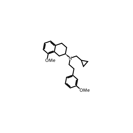 COc1cccc(CCN(CC2CC2)[C@@H]2CCc3cccc(OC)c3C2)c1